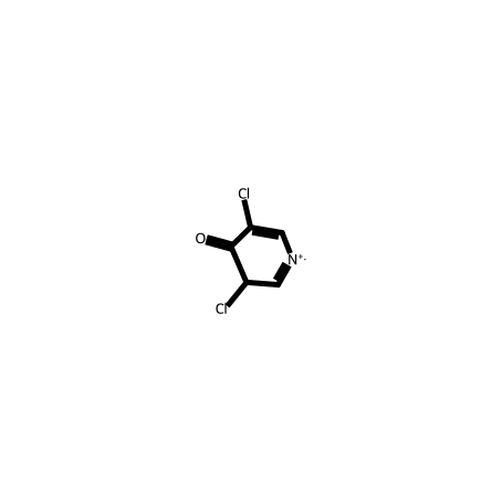 O=C1C(Cl)=C[N+]=CC1Cl